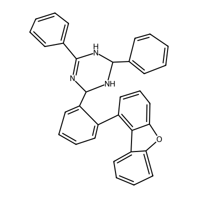 c1ccc(C2=NC(c3ccccc3-c3cccc4oc5ccccc5c34)NC(c3ccccc3)N2)cc1